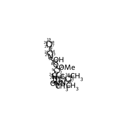 COc1cc2c(cc1OCC(O)CN1CCC(c3ccccc3)CC1)CCn1c-2cc(=Nc2c(C)cc(C)cc2C)n(C)c1=O